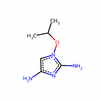 CC(C)On1cc(N)nc1N